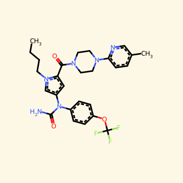 CCCCn1cc(N(C(N)=O)c2ccc(OC(F)(F)F)cc2)cc1C(=O)N1CCN(c2ccc(C)cn2)CC1